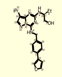 CC[C@@H](CO)Nc1nc(NCc2ccc(-c3ccoc3)cc2)n2ncc(C(C)C)c2n1